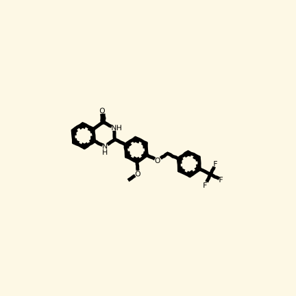 COc1cc(C2NC(=O)c3ccccc3N2)ccc1OCc1ccc(C(F)(F)F)cc1